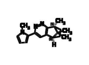 Cn1cccc1-c1cc2c(nn1)[C@@]1(C)CC[C@@H]2C1(C)C